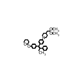 CC/C(=C(\c1ccc(OC2CCCCO2)cc1)c1ccc(N2CCC(CC(OC)OC)CC2)cc1)c1ccccc1